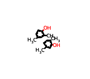 Cc1ccc(C)c(O)c1.Cc1ccc(O)c(C)c1